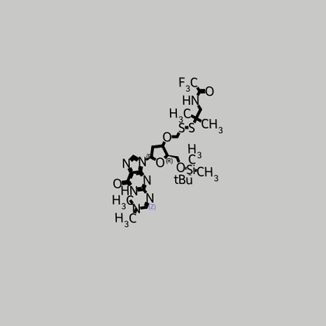 CN(C)/C=N\c1nc2c(ncn2[C@H]2CC(OCSSC(C)(C)CNC(=O)C(F)(F)F)[C@@H](CO[Si](C)(C)C(C)(C)C)O2)c(=O)[nH]1